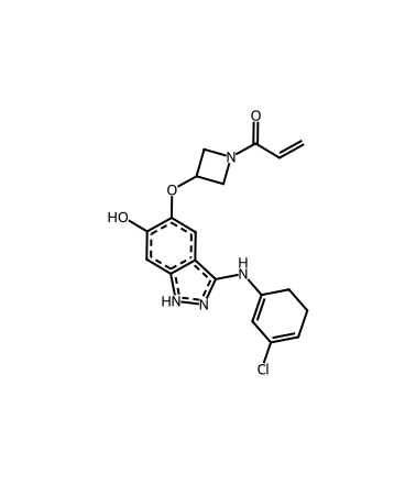 C=CC(=O)N1CC(Oc2cc3c(NC4=CC(Cl)=CCC4)n[nH]c3cc2O)C1